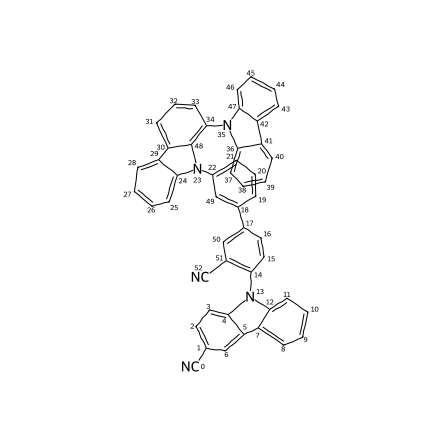 N#Cc1ccc2c(c1)c1ccccc1n2-c1ccc(-c2cccc(-n3c4ccccc4c4cccc(-n5c6ccccc6c6ccccc65)c43)c2)cc1C#N